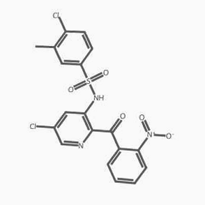 Cc1cc(S(=O)(=O)Nc2cc(Cl)cnc2C(=O)c2ccccc2[N+](=O)[O-])ccc1Cl